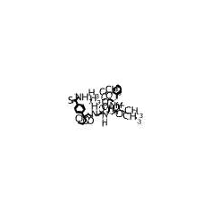 CC(C)(C)OC(=O)C[C@H](NC(=O)CNC(=O)CC1(c2ccc(C(N)=S)cc2)OCCO1)C(=O)N[C@@H](Cc1ccccc1)C(=O)OC(C)(C)C